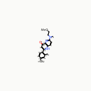 COCCN(C)c1ccc2[nH]c(-c3ccc(C(C)(C)C)cc3C)cc(=O)c2n1